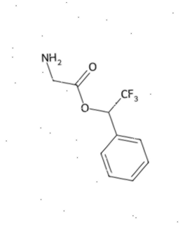 NCC(=O)OC(c1ccccc1)C(F)(F)F